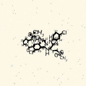 CS(=O)(=O)CC[C@H](Nc1ncnc2cc(C(=O)N3CCCC3NS(C)(=O)=O)c(Cl)cc12)c1nc2cc(Cl)ccc2[nH]1